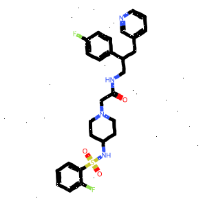 O=C(CN1CCC(NS(=O)(=O)c2ccccc2F)CC1)NCC(Cc1cccnc1)c1ccc(F)cc1